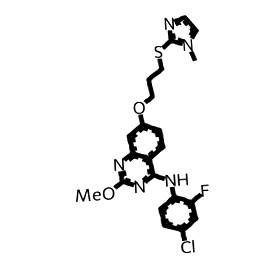 COc1nc(Nc2ccc(Cl)cc2F)c2ccc(OCCCSc3nccn3C)cc2n1